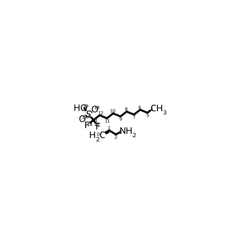 C=CCN.CCCCCCCCCC(F)(F)S(=O)(=O)O